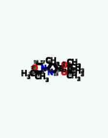 Cc1cc(B2OC(C)(C)C(C)(C)O2)cnc1N1CCOC(C)(C)C1